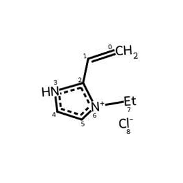 C=Cc1[nH]cc[n+]1CC.[Cl-]